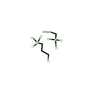 CCCCCCCC[Si](Cl)(Cl)Cl.ClCCC[Si](Cl)(Cl)Cl